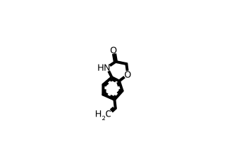 C=Cc1ccc2c(c1)OCC(=O)N2